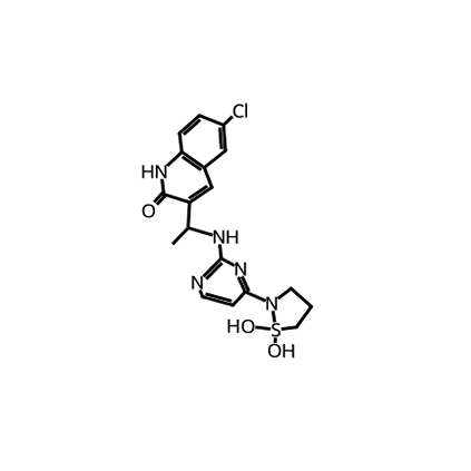 CC(Nc1nccc(N2CCCS2(O)O)n1)c1cc2cc(Cl)ccc2[nH]c1=O